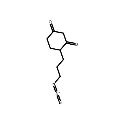 [N-]=[N+]=NCCCC1CCC(=O)CC1=O